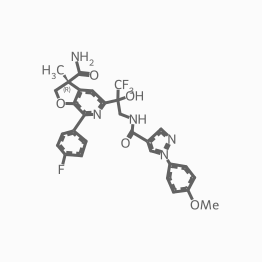 COc1ccc(-n2cc(C(=O)NCC(O)(c3cc4c(c(-c5ccc(F)cc5)n3)OC[C@]4(C)C(N)=O)C(F)(F)F)cn2)cc1